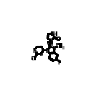 Cn1c(=O)n(-c2ccnc(Cl)n2)c2ccc(F)cc21.O=c1[nH]cc[nH]1